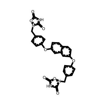 O=c1[nH]c(=O)n(Cc2ccc(Oc3ccc4ccc(Oc5ccc(Cn6oc(=O)[nH]c6=O)cc5)cc4c3)cc2)o1